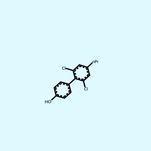 CCCc1cc(Cl)c(-c2ccc(O)cc2)c(Cl)c1